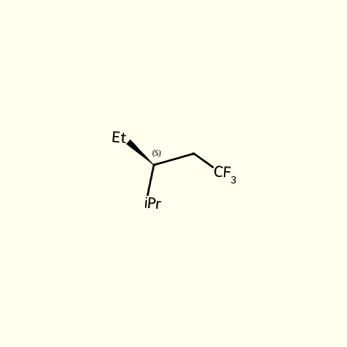 CC[C@@H](CC(F)(F)F)C(C)C